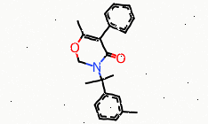 CC1=C(c2ccccc2)C(=O)N(C(C)(C)c2cccc(C)c2)CO1